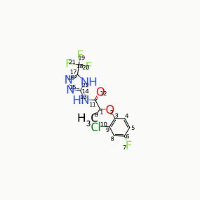 CC(Oc1ccc(F)cc1Cl)C(=O)Nc1nnc(C(F)(F)F)[nH]1